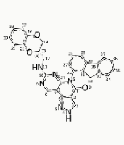 O=c1c2c[nH]nc2c2cnc(NC[C@H]3COc4ccccc4O3)nc2n1-c1cccc2c1Cc1ccccc1-2